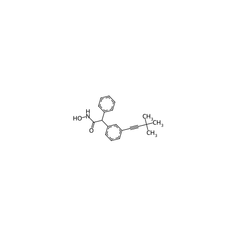 CC(C)(C)C#Cc1cccc(C(C(=O)NO)c2ccccc2)c1